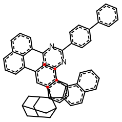 c1ccc(-c2ccc(-c3nc(-c4ccccc4)nc(-c4cccc5cccc(-c6ccc7c(c6)C6(c8ccc9ccccc9c8-7)C7CC8CC(C7)CC6C8)c45)n3)cc2)cc1